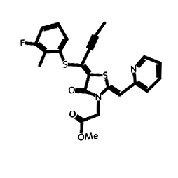 CC#C/C(Sc1cccc(F)c1C)=c1\s/c(=C\c2ccccn2)n(CC(=O)OC)c1=O